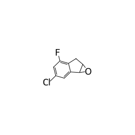 Fc1cc(Cl)cc2c1CC1OC21